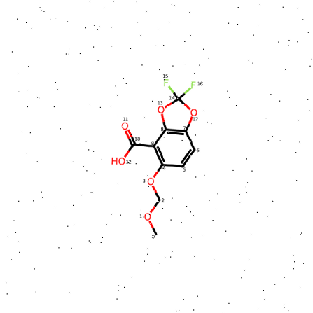 COCOc1ccc2c(c1C(=O)O)OC(F)(F)O2